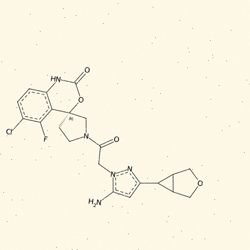 Nc1cc(C2C3COCC32)nn1CC(=O)N1CC[C@@]2(C1)OC(=O)Nc1ccc(Cl)c(F)c12